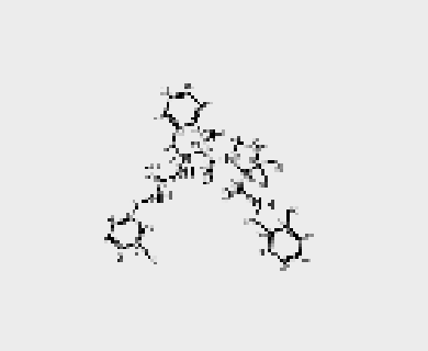 Cc1cccc(CNC(=O)N[C@@H](Cc2ccccc2)[C@H](O)C(=O)N2CSC(C)(C)[C@H]2C(=O)NCc2ccccc2C)c1